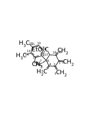 C=C1C(=C)C(=C)C(C(C)=O)(c2ccc(C)c(C)c2C)C(C(=O)OCC)C1=C